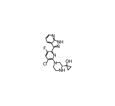 OC1([C@@H]2CN(c3nc(-c4n[nH]c5ncccc45)c(F)cc3Cl)CCN2)CC1